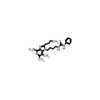 CCCCc1nc2c(N)nc(C)c(C)c2n1CCCCNC(=S)Nc1ccccc1